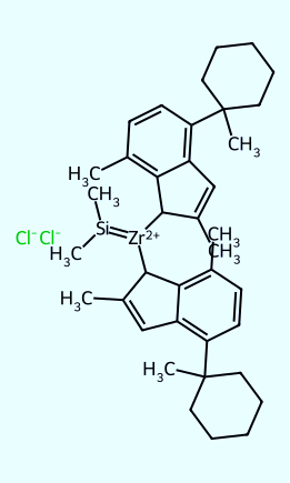 CC1=Cc2c(C3(C)CCCCC3)ccc(C)c2[CH]1[Zr+2]([CH]1C(C)=Cc2c(C3(C)CCCCC3)ccc(C)c21)=[Si](C)C.[Cl-].[Cl-]